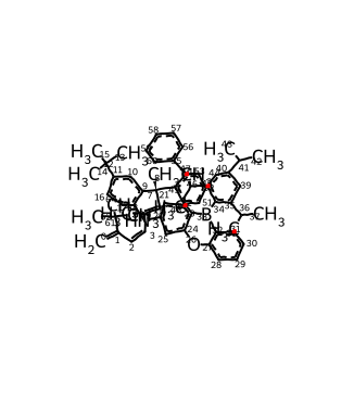 C=C(/C=C\C(C)=C\[C@](C)(c1cc(C(C)(C)C)ccc1Nc1ccc2c(c1)Oc1ccccc1B2c1c(C(C)C)cc(C(C)C)cc1C(C)C)c1ccccc1-c1ccccc1)C(C)(C)C